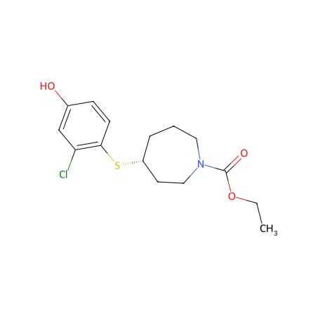 CCOC(=O)N1CCC[C@@H](Sc2ccc(O)cc2Cl)CC1